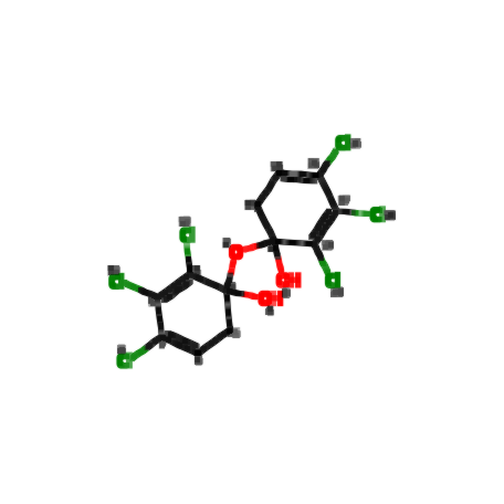 OC1(OC2(O)[CH]C=C(Cl)C(Cl)=C2Cl)[CH]C=C(Cl)C(Cl)=C1Cl